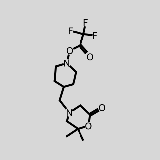 CC1(C)CN(CC2CCN(OC(=O)C(F)(F)F)CC2)CC(=O)O1